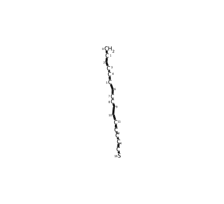 C=C=C=C=C=C=C=C=C=C=C=C=C=C=C=C=S